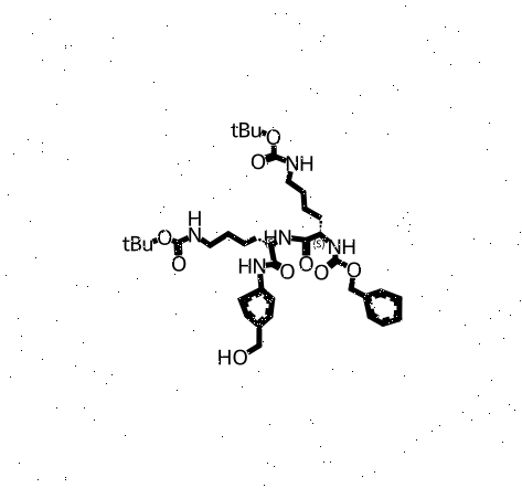 CC(C)(C)OC(=O)NCCCC[C@H](NC(=O)OCc1ccccc1)C(=O)N[C@@H](CCCCNC(=O)OC(C)(C)C)C(=O)Nc1ccc(CO)cc1